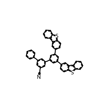 N#Cc1cc(-c2ccccc2)cc(-c2cc(-c3ccc4sc5ccccc5c4c3)cc(-c3ccc4sc5ccccc5c4c3)c2)c1